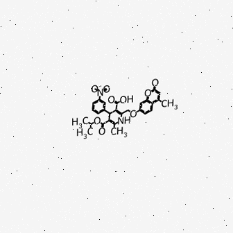 CC1=C(C(=O)OC(C)C)C(c2cccc([N+](=O)[O-])c2)C(C(=O)O)=C(COc2ccc3c(C)cc(=O)oc3c2)N1